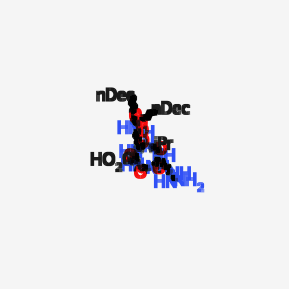 CCCCCCCCCCCCCCOCC(NC(=O)CCC[C@@H]1NC(=O)[C@H](CC(=O)O)NC(=O)CNC(=O)C(CCCCNC(=N)N)NC(=O)[C@@H](C(C)C)NC1=O)OCCCCCCCCCCCCCC